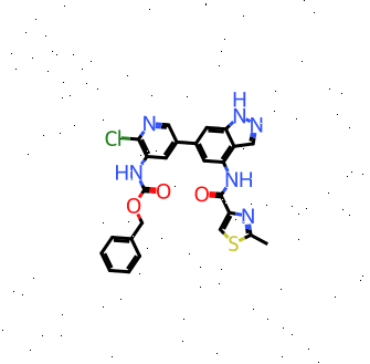 Cc1nc(C(=O)Nc2cc(-c3cnc(Cl)c(NC(=O)OCc4ccccc4)c3)cc3[nH]ncc23)cs1